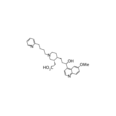 COc1ccc2nccc([C@H](O)CC[C@@H]3CCN(CCCCc4ccccn4)C[C@@H]3CC(=O)O)c2c1